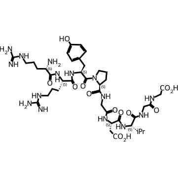 CC(C)[C@H](NC(=O)[C@H](CC(=O)O)NC(=O)CNC(=O)[C@@H]1CCCN1C(=O)[C@H](Cc1ccc(O)cc1)NC(=O)[C@H](CCCNC(=N)N)NC(=O)[C@@H](N)CCCNC(=N)N)C(=O)NCC(=O)NCC(=O)O